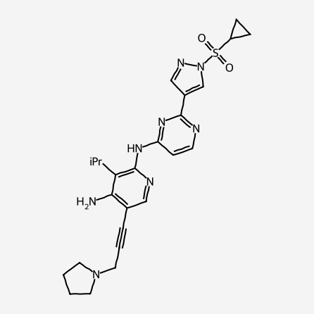 CC(C)c1c(Nc2ccnc(-c3cnn(S(=O)(=O)C4CC4)c3)n2)ncc(C#CCN2CCCC2)c1N